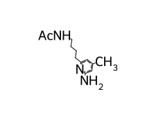 CC(=O)NCCCCc1cc(C)cc(N)n1